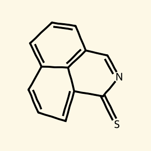 S=C1N=Cc2cccc3cccc1c23